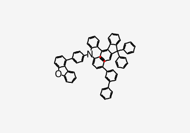 c1ccc(-c2cccc(-c3ccc(N(c4ccc(-c5cccc6oc7ccccc7c56)cc4)c4ccccc4-c4cccc5c4-c4ccccc4C5(c4ccccc4)c4ccccc4)cc3)c2)cc1